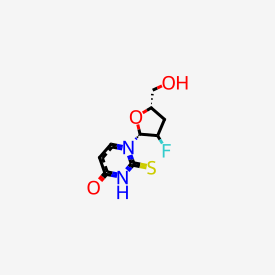 O=c1ccn([C@@H]2O[C@H](CO)CC2F)c(=S)[nH]1